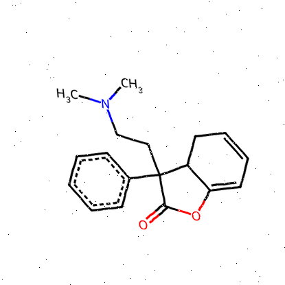 CN(C)CCC1(c2ccccc2)C(=O)OC2=CC=CCC21